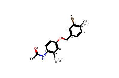 CCC(=O)Nc1ccc(OCc2ccc(C(F)(F)F)c(Br)c2)cc1C(=O)O